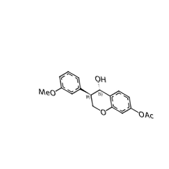 COc1cccc([C@@H]2COc3cc(OC(C)=O)ccc3[C@H]2O)c1